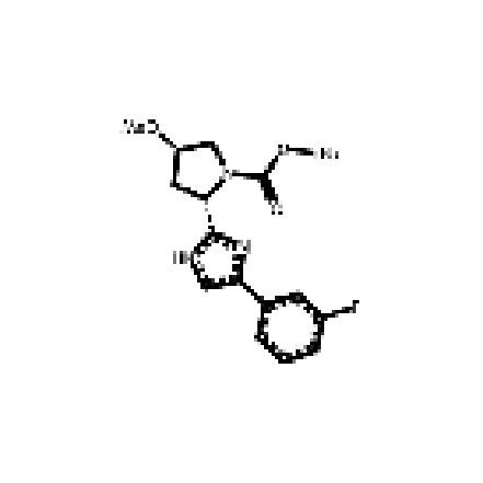 CO[C@@H]1C[C@@H](c2nc(-c3cccc(F)c3)c[nH]2)N(C(=O)OC(C)(C)C)C1